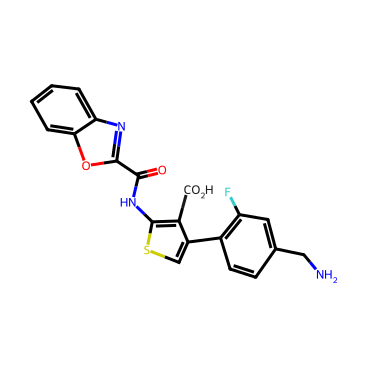 NCc1ccc(-c2csc(NC(=O)c3nc4ccccc4o3)c2C(=O)O)c(F)c1